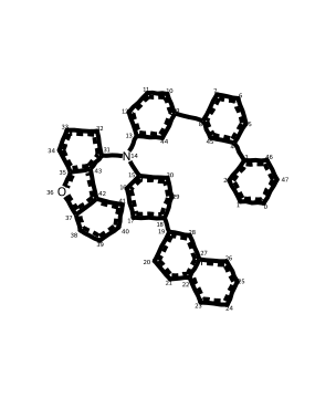 c1ccc(-c2cccc(-c3cccc(N(c4ccc(-c5ccc6ccccc6c5)cc4)c4cccc5oc6ccccc6c45)c3)c2)cc1